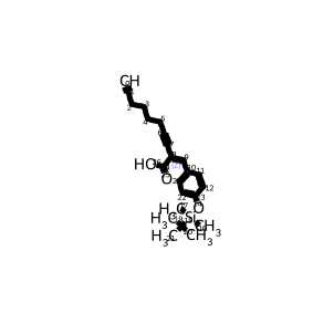 C#CCCCCC#C/C(=C/c1ccc(O[Si](C)(C)C(C)(C)C)cc1)C(=O)O